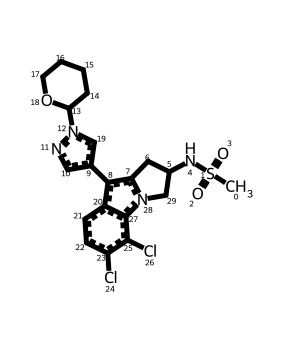 CS(=O)(=O)NC1Cc2c(-c3cnn(C4CCCCO4)c3)c3ccc(Cl)c(Cl)c3n2C1